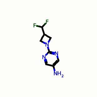 Nc1cnc(N2CC(C(F)F)C2)nc1